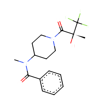 CN(C(=O)c1ccccc1)C1CCN(C(=O)[C@@](C)(O)C(F)(F)F)CC1